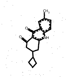 Cc1ccc2[nH]c3c(c(=O)c2c1)C(=O)CC(C1CCC1)C3